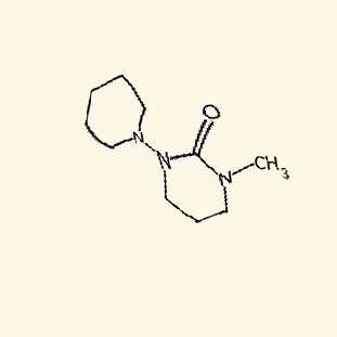 CN1CCCN(N2CCCCC2)C1=O